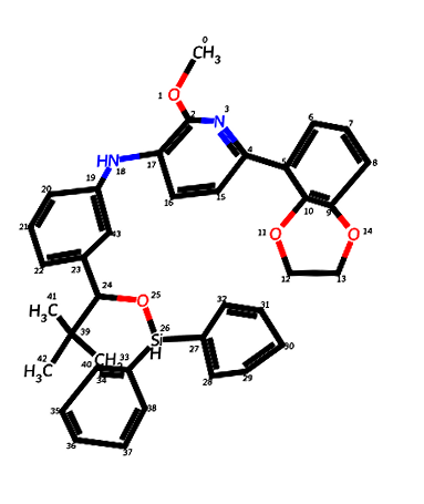 COc1nc(-c2cccc3c2OCCO3)ccc1Nc1cccc(C(O[SiH](c2ccccc2)c2ccccc2)C(C)(C)C)c1